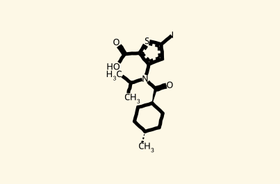 CC(C)N(c1cc(I)sc1C(=O)O)C(=O)[C@H]1CC[C@H](C)CC1